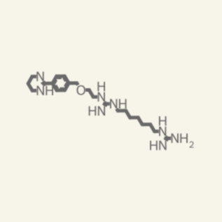 N=C(N)NCCCCCCCNC(=N)NCCOCc1ccc(C2=NCCCN2)cc1